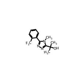 Cn1c(-c2ccccc2C(F)(F)F)nnc1C(C)(C)O